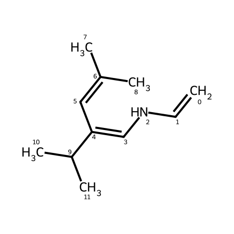 C=CN/C=C(\C=C(C)C)C(C)C